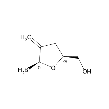 B[C@@H]1O[C@H](CO)CC1=C